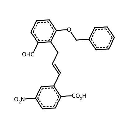 O=Cc1cccc(OCc2ccccc2)c1CC=Cc1cc([N+](=O)[O-])ccc1C(=O)O